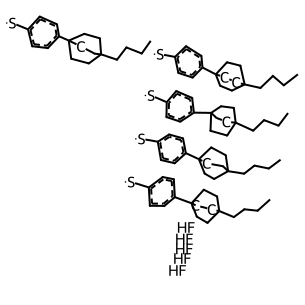 CCCCC12CCC(c3ccc([S])cc3)(CC1)CC2.CCCCC12CCC(c3ccc([S])cc3)(CC1)CC2.CCCCC12CCC(c3ccc([S])cc3)(CC1)CC2.CCCCC12CCC(c3ccc([S])cc3)(CC1)CC2.CCCCC12CCC(c3ccc([S])cc3)(CC1)CC2.F.F.F.F.F